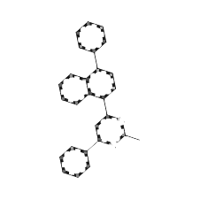 Cc1nc(-c2ccccc2)cc(-c2ccc(-c3ccccc3)c3ccccc23)n1